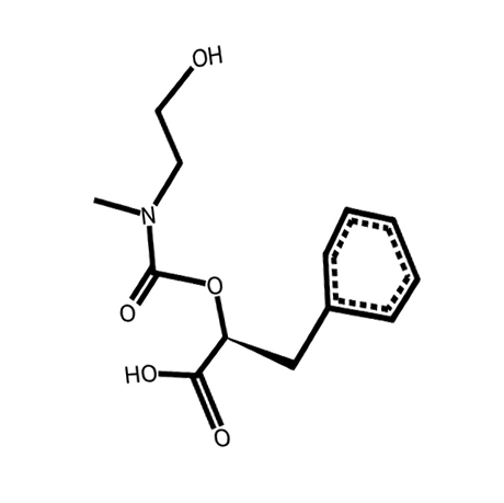 CN(CCO)C(=O)O[C@@H](Cc1ccccc1)C(=O)O